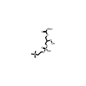 CCCCCCCCCC(=O)OCC(COP(=O)(O)OCC[N+](C)(C)C)OO